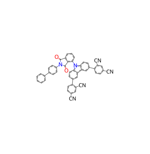 N#Cc1ccc(-c2ccc3c(c2)c2cc(-c4ccc(C#N)cc4C#N)ccc2n3-c2cccc3c2C(=O)N(c2ccc(-c4ccccc4)cc2)C3=O)c(C#N)c1